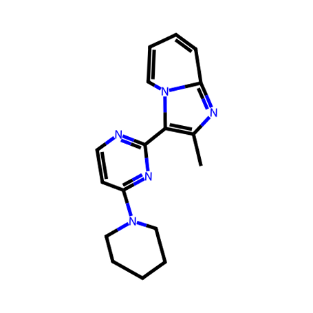 Cc1nc2ccccn2c1-c1nccc(N2CCCCC2)n1